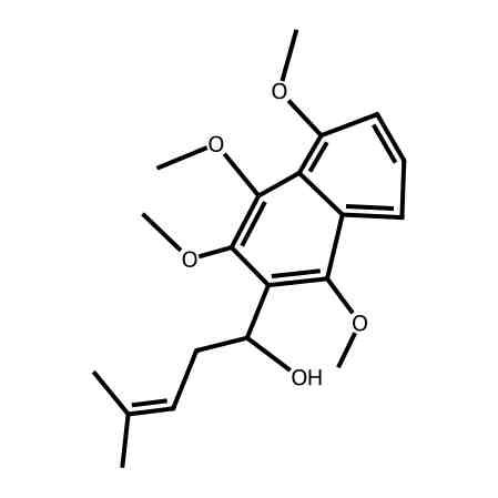 COc1c(C(O)CC=C(C)C)c(OC)c2cccc(OC)c2c1OC